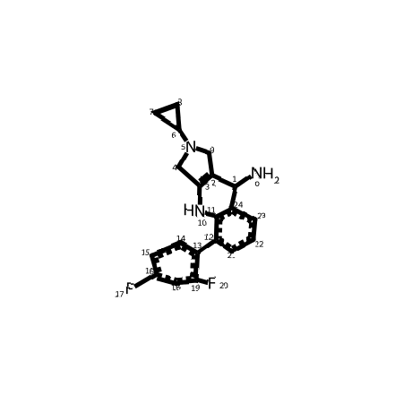 NC1C2=C(CN(C3CC3)C2)Nc2c(-c3ccc(F)cc3F)cccc21